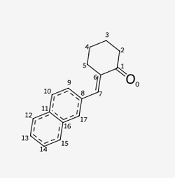 O=C1CCCC/C1=C\c1ccc2ccccc2c1